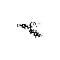 CC(C)c1ccc(-c2csc(N(CCC(=O)O)CCc3ccc(Cl)cc3)n2)cc1